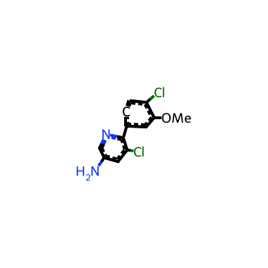 COc1cc(-c2ncc(N)cc2Cl)ccc1Cl